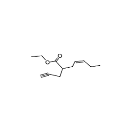 C#CCC(C/C=C\CC)C(=O)OCC